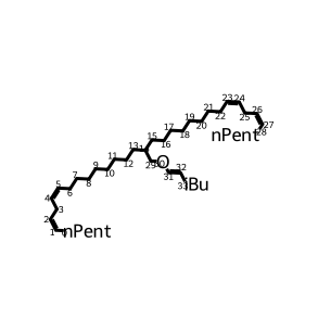 CCCCC/C=C\C/C=C\CCCCCCCCC(CCCCCCCC/C=C\C/C=C\CCCCC)CO/C=C/C(C)CC